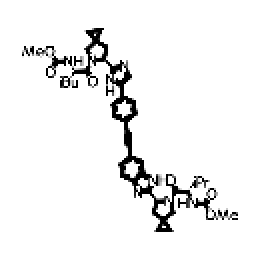 CC[C@@H](C)[C@H](NC(=O)OC)C(=O)N1CC2(CC2)C[C@H]1c1ncc(-c2ccc(C#Cc3ccc4nc([C@@H]5CC6(CC6)CN5C(=O)[C@@H](NC(=O)OC)C(C)C)[nH]c4c3)cc2)[nH]1